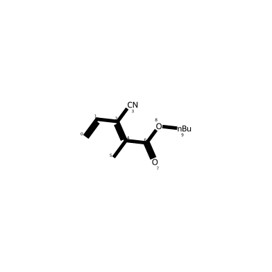 C=CC(C#N)=C(C)C(=O)OCCCC